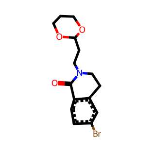 O=C1c2ccc(Br)cc2CCN1CCC1OCCCO1